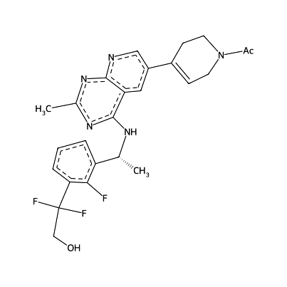 CC(=O)N1CC=C(c2cnc3nc(C)nc(N[C@H](C)c4cccc(C(F)(F)CO)c4F)c3c2)CC1